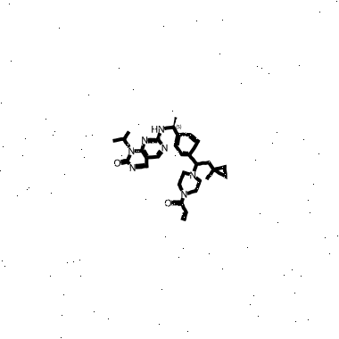 C=CC(=O)N1CCN(C(CC2(C)CC2)c2ccc([C@H](C)Nc3ncc4cnc(=O)n(C(C)C)c4n3)cc2)CC1